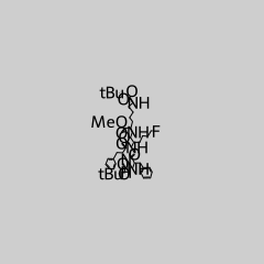 COC(=O)C(CCCCNC(=O)OC(C)(C)C)NC(=O)C(CCCCF)NC(=O)C(Cc1ccccc1)NC(=O)C(Cc1ccccc1)NC(=O)OC(C)(C)C